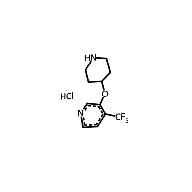 Cl.FC(F)(F)c1ccncc1OC1CCNCC1